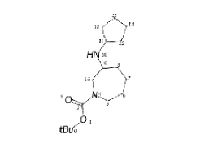 CC(C)(C)OC(=O)N1CCCCC(NC2CCCC2)C1